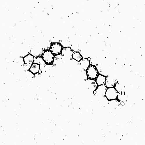 O=C1CCC(N2Cc3cc(O[C@H]4CCN(Cc5ccc6nc(N7CCC[C@]78CCOC8)ccc6c5)C4)ccc3C2=O)C(=O)N1